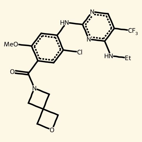 CCNc1nc(Nc2cc(OC)c(C(=O)N3CC4(COC4)C3)cc2Cl)ncc1C(F)(F)F